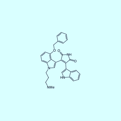 CNCCCn1cc(C2=C(c3c[nH]c4ccccc34)C(=O)NC2=O)c2c(OCc3ccccc3)cccc21